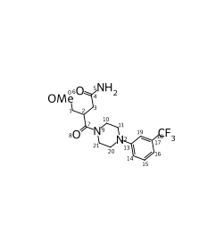 COCC(CC(N)=O)C(=O)N1CCN(c2cccc(C(F)(F)F)c2)CC1